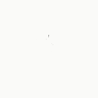 COC[C@@H](C)NC(=O)c1ccccc1C